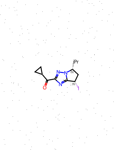 CC(C)[C@@H]1C[C@H](I)c2nc(C(=O)C3CC3)nn21